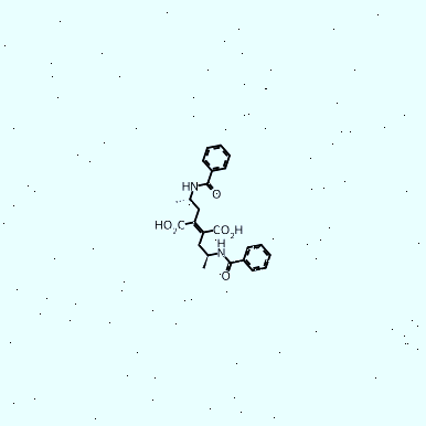 C[C@@H](C/C(C(=O)O)=C(/C[C@H](C)NC(=O)c1ccccc1)C(=O)O)NC(=O)c1ccccc1